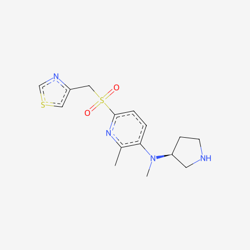 Cc1nc(S(=O)(=O)Cc2cscn2)ccc1N(C)[C@H]1CCNC1